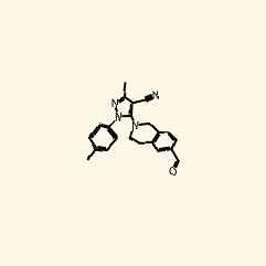 Cc1ccc(-n2nc(C)c(C#N)c2N2CCc3cc(C=O)ccc3C2)cc1